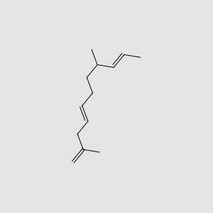 C=C(C)CC=CCCC(C)C=CC